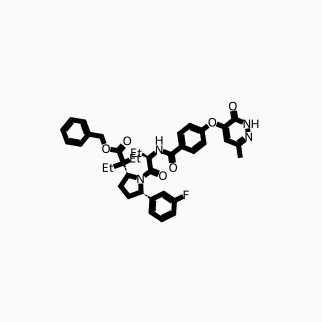 CC[C@@H](NC(=O)c1ccc(Oc2cc(C)n[nH]c2=O)cc1)C(=O)N1[C@H](c2cccc(F)c2)CC[C@@H]1C(CC)(CC)C(=O)OCc1ccccc1